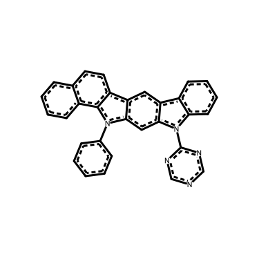 c1ccc(-n2c3cc4c(cc3c3ccc5ccccc5c32)c2ccccc2n4-c2ncncn2)cc1